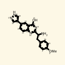 COc1ccc(CC(N)c2nc(O)c3cc(-c4cn[nH]c4)ccc3n2)cc1